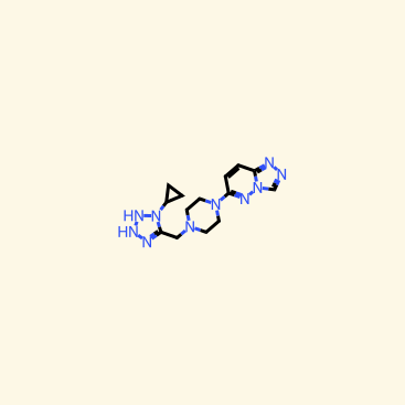 c1cc2nncn2nc1N1CCN(CC2=NNNN2C2CC2)CC1